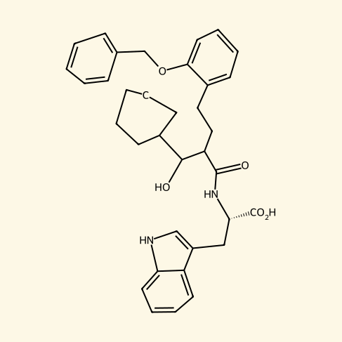 O=C(N[C@@H](Cc1c[nH]c2ccccc12)C(=O)O)C(CCc1ccccc1OCc1ccccc1)C(O)C1CCCCC1